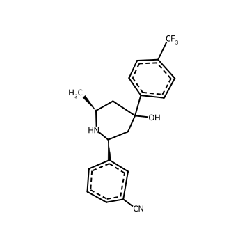 C[C@H]1CC(O)(c2ccc(C(F)(F)F)cc2)C[C@@H](c2cccc(C#N)c2)N1